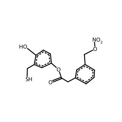 O=C(Cc1cccc(CO[N+](=O)[O-])c1)Oc1ccc(O)c(CS)c1